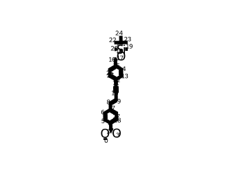 COC(=O)c1ccc(/C=C/C#Cc2ccc(CO[Si](C)(C)C(C)(C)C)cc2)cc1